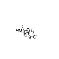 CC1(C)CN1.ClCCl